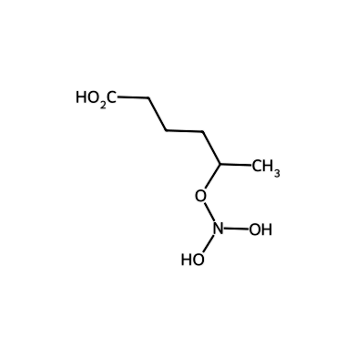 CC(CCCC(=O)O)ON(O)O